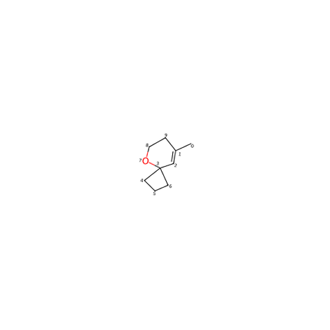 CC1=CC2(CCC2)OCC1